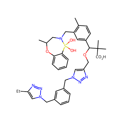 CCc1cn(Cc2cccc(Cn3cc(COC(c4ccc(C)c(CN5CC(C)Oc6ccccc6S5(O)O)c4)C(C)(C)C(=O)O)nn3)c2)nn1